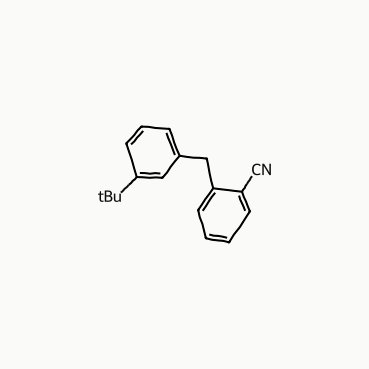 CC(C)(C)c1cccc(Cc2ccccc2C#N)c1